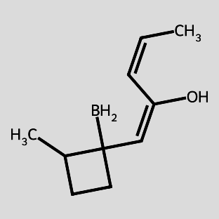 BC1(/C=C(O)\C=C/C)CCC1C